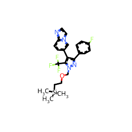 C[Si](C)(C)CCOCn1nc(-c2ccc(F)cc2)c(-c2ccc3nccn3c2)c1C(F)(F)F